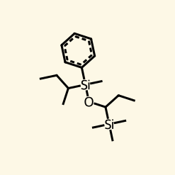 CCC(O[Si](C)(c1ccccc1)C(C)CC)[Si](C)(C)C